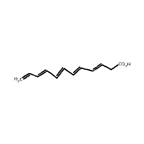 C=CC=CC=CC=CC=CCC(=O)O